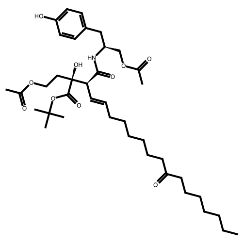 CCCCCCCC(=O)CCCCCC/C=C/[C@H](C(=O)N[C@H](COC(C)=O)Cc1ccc(O)cc1)[C@@](O)(CCOC(C)=O)C(=O)OC(C)(C)C